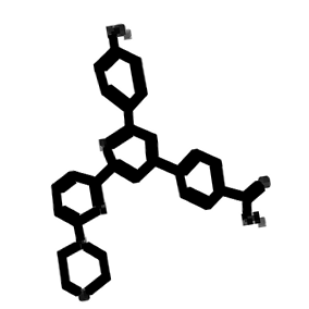 NC(=O)c1ccc(-c2cc(-c3ccc([N+](=O)[O-])cc3)nc(-c3cccc(N4CCOCC4)n3)c2)cc1